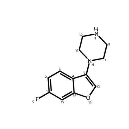 Fc1ccc2c(N3CCNCC3)[c]oc2c1